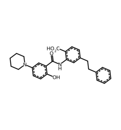 O=C(Nc1cc(CCc2ccccc2)ccc1C(=O)O)c1cc(N2CCCCC2)ccc1O